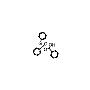 O=P(Oc1ccccc1)(OC(O)c1ccccc1)c1ccccc1